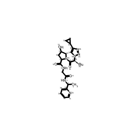 CC(NC(=O)CNC(=O)C1CC(O)CN1C(=O)[C@@H](n1cc(C2CC2)nn1)C(C)(C)C)c1ccccn1